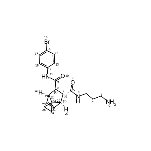 NCCCNC(=O)[C@H]1[C@H](C(=O)Nc2ccc(Br)cc2)[C@@H]2C=C[C@H]1C21CC1